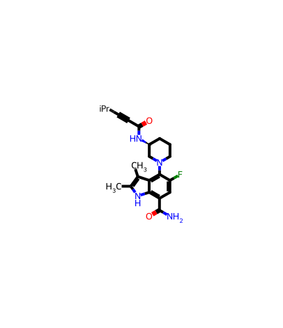 Cc1[nH]c2c(C(N)=O)cc(F)c(N3CCC[C@H](NC(=O)C#CC(C)C)C3)c2c1C